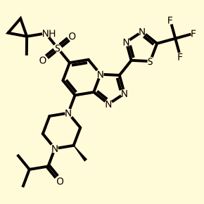 CC(C)C(=O)N1CCN(c2cc(S(=O)(=O)NC3(C)CC3)cn3c(-c4nnc(C(F)(F)F)s4)nnc23)C[C@H]1C